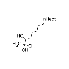 CCCCCCCCCCCCC(O)C(C)(C)O